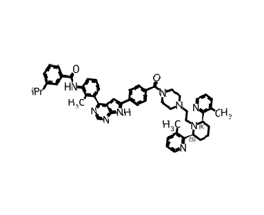 Cc1cccnc1[C@H]1CCC[C@@H](c2ncccc2C)N1CCN1CCN(C(=O)c2ccc(-c3cc4c(-c5cccc(NC(=O)c6cccc(C(C)C)c6)c5C)ncnc4[nH]3)cc2)CC1